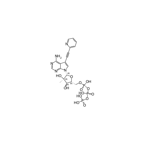 C[C@@]1(O)[C@H](O)[C@@H](COP(=O)(O)OP(=O)(O)OP(=O)(O)O)O[C@H]1n1cc(C#Cc2ccccn2)c2c(N)ncnc21